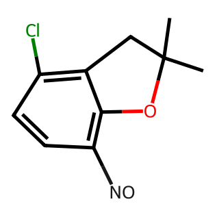 CC1(C)Cc2c(Cl)ccc(N=O)c2O1